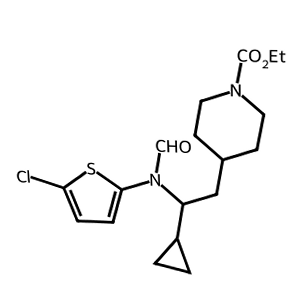 CCOC(=O)N1CCC(CC(C2CC2)N(C=O)c2ccc(Cl)s2)CC1